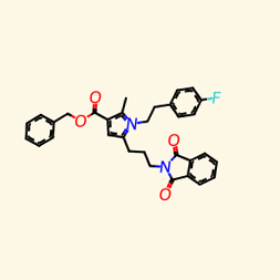 Cc1c(C(=O)OCc2ccccc2)cc(CCCN2C(=O)c3ccccc3C2=O)n1CCc1ccc(F)cc1